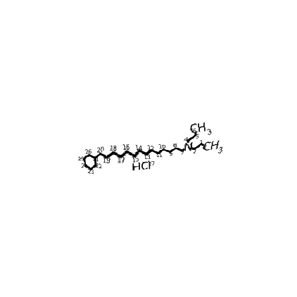 CCCN(CCC)CCCCCCCCCCCCCCC1CCCCC1.Cl